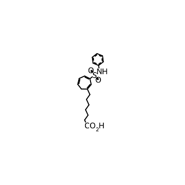 O=C(O)CCCCCCC1=CC(S(=O)(=O)Nc2ccccc2)=CC=CC1